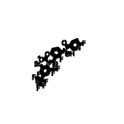 COC(=O)N(C(=O)c1cccc(N(O)C(=O)c2ccc(F)nc2)c1F)c1c(Br)cc(C(F)(C(F)(F)F)C(F)(F)F)cc1C(F)(F)F